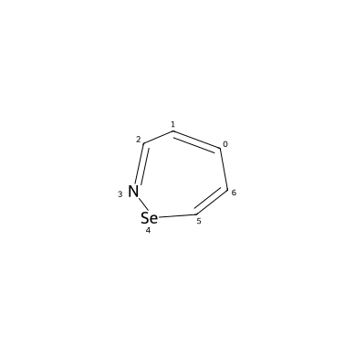 C1=CC=N[Se]C=C1